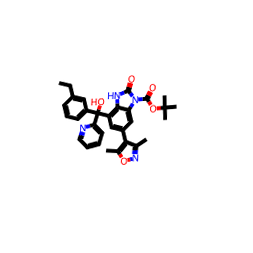 CCc1cccc(C(O)(c2ccccn2)c2cc(-c3c(C)noc3C)cc3c2[nH]c(=O)n3C(=O)OC(C)(C)C)c1